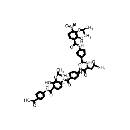 CC(C)Oc1c(NC(=O)c2ccc(NC(=O)C(CC(N)=O)NC(=O)c3ccc(NC(=O)c4ccc([N+](=O)[O-])c(OC(C)C)c4O)cc3)cc2)ccc(C(=O)Nc2ccc(C(=O)O)cc2)c1O